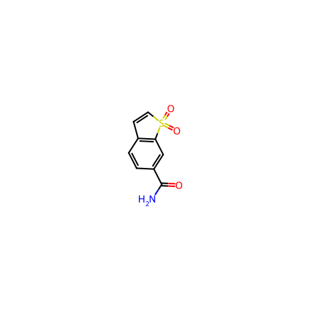 NC(=O)c1ccc2c(c1)S(=O)(=O)C=C2